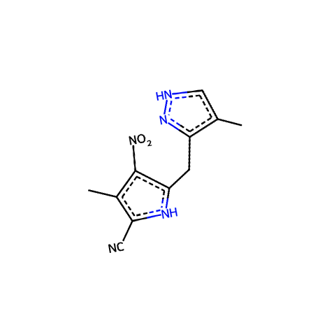 Cc1c[nH]nc1Cc1[nH]c(C#N)c(C)c1[N+](=O)[O-]